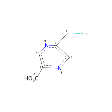 O=C(O)c1cnc(CF)cn1